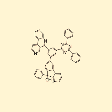 CC1(c2ccccc2)c2ccccc2-c2cc(-c3cc(-c4nc(-c5ccccc5)nc(-c5ccccc5)n4)cc(-c4nc5ccccc5c5ccncc45)c3)ccc21